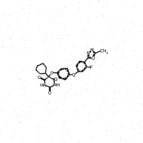 Cc1nnc(-c2ccc(Oc3ccc(OC4(C5CCCCC5)C(=O)NC(=O)NC4=O)cc3)cc2F)o1